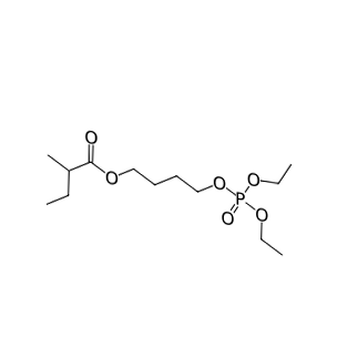 CCOP(=O)(OCC)OCCCCOC(=O)C(C)CC